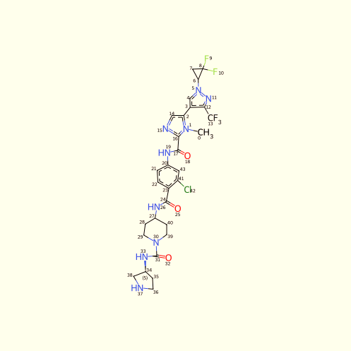 Cn1c(-c2cn(C3CC3(F)F)nc2C(F)(F)F)cnc1C(=O)Nc1ccc(C(=O)NC2CCN(C(=O)N[C@H]3CCNC3)CC2)c(Cl)c1